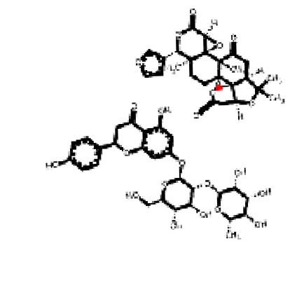 CC1(C)O[C@H]2CC(=O)OC[C@]23[C@H]2CC[C@@]4(C)[C@H](c5ccoc5)OC(=O)[C@H]5O[C@]54[C@]2(C)C(=O)C[C@@H]13.C[C@@H]1O[C@@H](O[C@H]2[C@H](Oc3cc(O)c4c(c3)OC(c3ccc(O)cc3)CC4=O)O[C@H](CO)[C@@H](O)[C@@H]2O)[C@H](O)[C@H](O)[C@H]1O